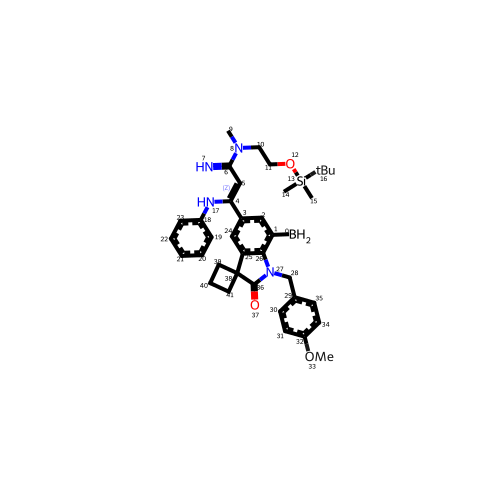 Bc1cc(/C(=C/C(=N)N(C)CCO[Si](C)(C)C(C)(C)C)Nc2ccccc2)cc2c1N(Cc1ccc(OC)cc1)C(=O)C21CCC1